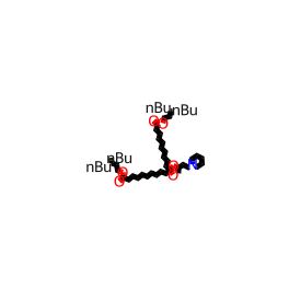 CCCCC(CCCC)CCOC(=O)CCCCCCCCCC1(CCCCCCCCCC(=O)OCCC(CCCC)CCCC)OCC(CCN2CCCCC2)O1